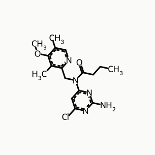 CCCC(=O)N(Cc1ncc(C)c(OC)c1C)c1cc(Cl)nc(N)n1